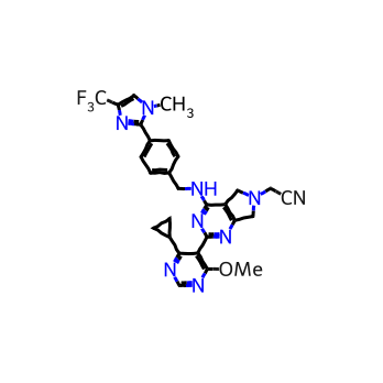 COc1ncnc(C2CC2)c1-c1nc2c(c(NCc3ccc(-c4nc(C(F)(F)F)cn4C)cc3)n1)CN(CC#N)C2